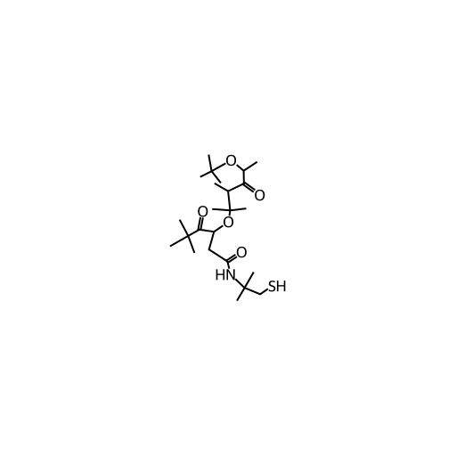 CC(OC(C)(C)C)C(=O)C(C)C(C)(C)OC(CC(=O)NC(C)(C)CS)C(=O)C(C)(C)C